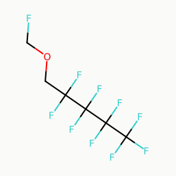 FCOCC(F)(F)C(F)(F)C(F)(F)C(F)(F)F